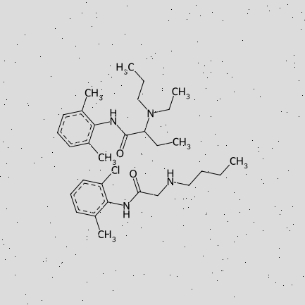 CCCCNCC(=O)Nc1c(C)cccc1Cl.CCCN(CC)C(CC)C(=O)Nc1c(C)cccc1C